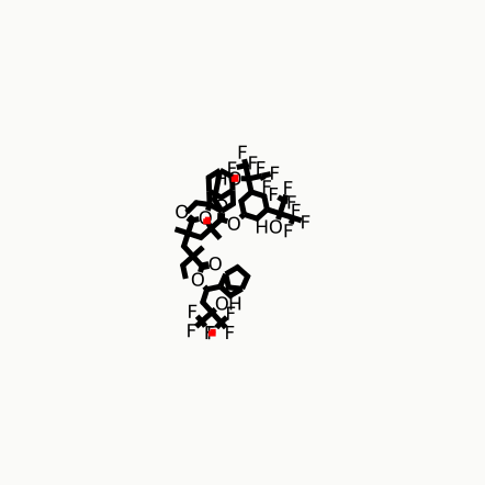 CCC(C)(CC(C)(CC(C)(C)C(=O)OC1CC(C(O)(C(F)(F)F)C(F)(F)F)CC(C(O)(C(F)(F)F)C(F)(F)F)C1)C(=O)OC1(CC)C2CC3CC(C2)CC1C3)C(=O)OC(CC(O)(C(F)(F)F)C(F)(F)F)C1CC2CCC1C2